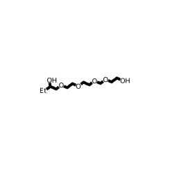 CCC(O)COCCOCCOCOCCO